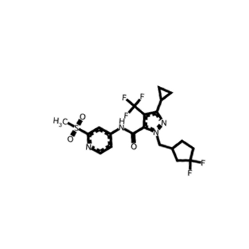 CS(=O)(=O)c1cc(NC(=O)c2c(C(F)(F)F)c(C3CC3)nn2CC2CCC(F)(F)C2)ccn1